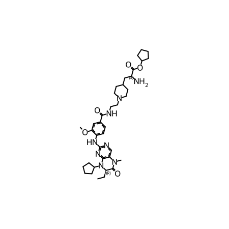 CC[C@@H]1C(=O)N(C)c2cnc(Nc3ccc(C(=O)NCCN4CCC(C[C@H](N)C(=O)OC5CCCC5)CC4)cc3OC)nc2N1C1CCCC1